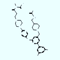 CC(=O)NCC1CCN(Cc2cc(Oc3cnc(N4CCN(CCC(=O)N(C)C(=O)O)CC4)nc3)nc(-c3cc(Cl)cc(Cl)c3)c2)CC1